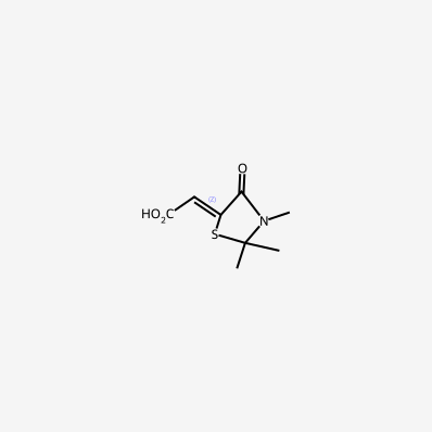 CN1C(=O)/C(=C/C(=O)O)SC1(C)C